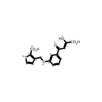 O=C(O)/C(O)=C/C(=O)c1cccc(OCc2ccsc2C(=O)O)c1